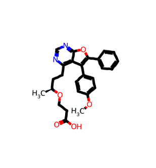 COc1ccc(-c2c(-c3ccccc3)oc3ncnc(CC[C@H](C)OCCC(=O)O)c23)cc1